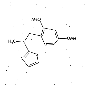 COc1ccc(CN(C)c2nccs2)c(OC)c1